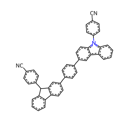 N#Cc1ccc(C2c3ccccc3-c3ccc(-c4ccc(-c5ccc6c(c5)c5ccccc5n6-c5ccc(C#N)cc5)cc4)cc32)cc1